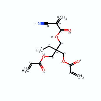 C=CC(=O)OCC(CC)(COC(=O)C=C)COC(=O)C(=C)C#N